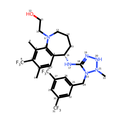 Cc1cc2c(c(C)c1C(F)(F)F)N(CCO)CCC[C@@H]2NC1=NNN(C)N1Cc1cc(C(F)(F)F)cc(C(F)(F)F)c1